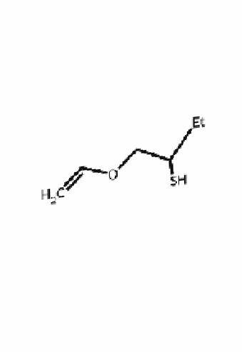 C=COCC(S)CC